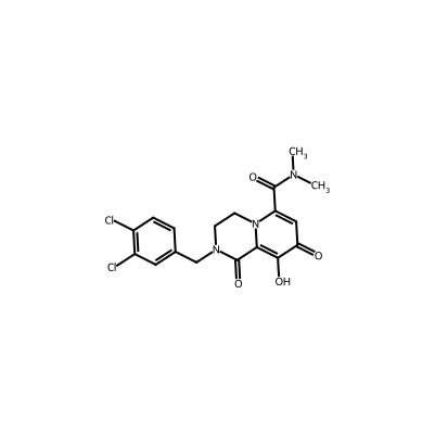 CN(C)C(=O)c1cc(=O)c(O)c2n1CCN(Cc1ccc(Cl)c(Cl)c1)C2=O